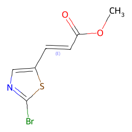 COC(=O)/C=C/c1cnc(Br)s1